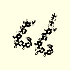 CCc1cc(Nc2nccn3c(-c4ccc(OC(F)F)c(F)c4F)cnc23)ccc1C(=O)N1CCN(C(=O)C2CC[N+](C)(CC3CNC3)CC2)CC1C(=O)OC.CCc1cc(Nc2nccn3c(-c4ccc(OC(F)F)c(F)c4F)cnc23)ccc1C(=O)N1CCN(C(=O)C2CC[N+](C)(CC3CNC3)CC2)CC1C(=O)OC.O=C([O-])C(F)(F)F.O=C([O-])C(F)(F)F